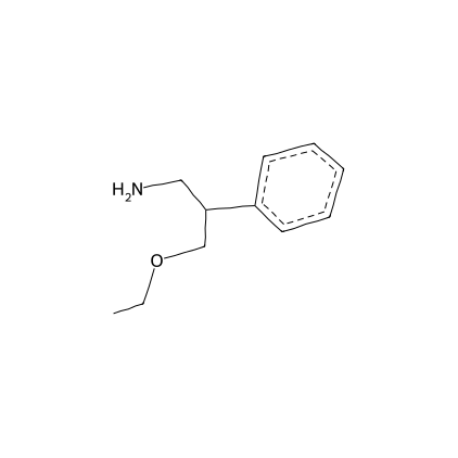 CCOCC(CN)c1ccccc1